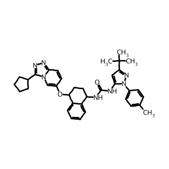 Cc1ccc(-n2nc(C(C)(C)C)cc2NC(=O)NC2CCC(Oc3ccc4nnc(C5CCCC5)n4c3)c3ccccc32)cc1